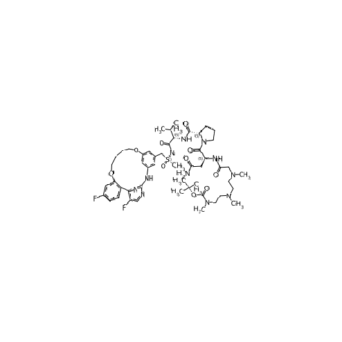 CC(C)[C@H](NC(=O)[C@@H]1CCCN1C(=O)[C@H](CC(N)=O)NC(=O)CN(C)CCN(C)CCN(C)C(=O)OC(C)(C)C)C(=O)N=[S@@](C)(=O)Cc1cc2cc(c1)OCCCCOc1cc(F)ccc1-c1nc(ncc1F)N2